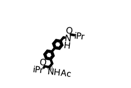 CC(=O)N[C@@H](Cc1cccc(-c2ccc(CNC(=O)C(C)C)cc2)c1)C(=O)C(C)C